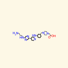 NCCCNc1cnc(-c2ccnc(Nc3cccc(CN4CCN(CC(=O)O)CC4)c3)c2)cn1